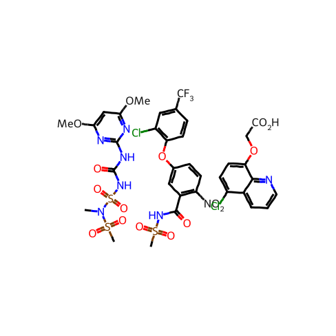 COc1cc(OC)nc(NC(=O)NS(=O)(=O)N(C)S(C)(=O)=O)n1.CS(=O)(=O)NC(=O)c1cc(Oc2ccc(C(F)(F)F)cc2Cl)ccc1[N+](=O)[O-].O=C(O)COc1ccc(Cl)c2cccnc12